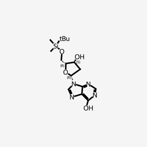 CC(C)(C)[Si](C)(C)OC[C@H]1O[C@@H](n2cnc3c(O)ncnc32)C[C@@H]1O